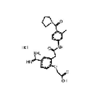 Cc1cc(NC(=O)Cc2cc(C(=N)N)ccc2OCC(=O)O)ccc1C(=O)N1CCCC1.Cl